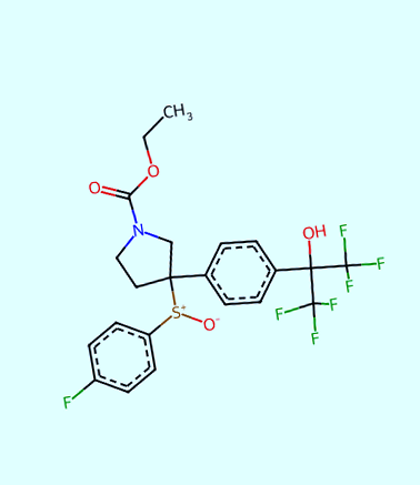 CCOC(=O)N1CCC(c2ccc(C(O)(C(F)(F)F)C(F)(F)F)cc2)([S+]([O-])c2ccc(F)cc2)C1